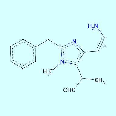 CC(C=O)c1c(/C=C\N)nc(Cc2ccccc2)n1C